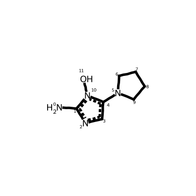 Nc1ncc(N2CCCC2)n1O